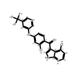 O=C(c1ccc(Oc2cncc(C(F)(F)F)c2)cc1Cl)c1c[nH]c2nccc(Cl)c12